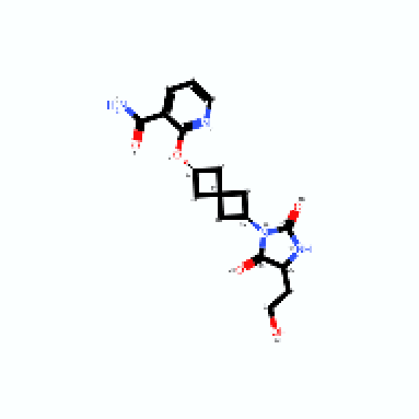 NC(=O)c1cccnc1O[C@H]1CC2(C1)C[C@H](N1C(=O)NC(CCO)C1=O)C2